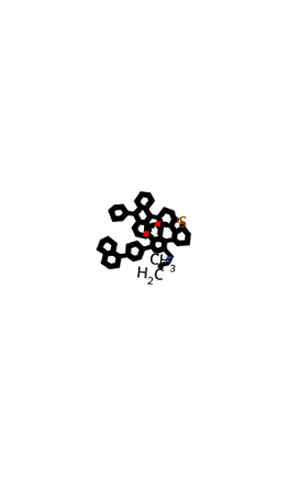 C=C/C=C\c1c(C)c(-c2ccc(-c3cccc4ccccc34)cc2)c2ccccc2c1-c1cccc2sc3ccc(-c4c5ccccc5c(-c5ccccc5)c5ccccc45)cc3c12